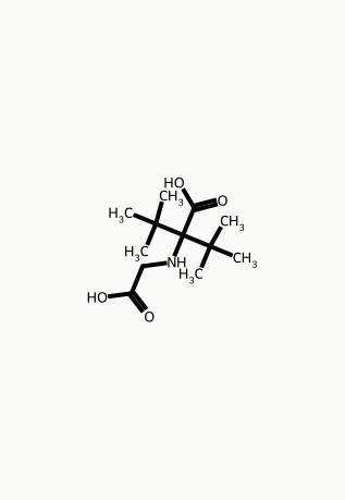 CC(C)(C)C(NCC(=O)O)(C(=O)O)C(C)(C)C